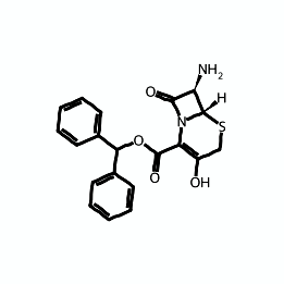 N[C@@H]1C(=O)N2C(C(=O)OC(c3ccccc3)c3ccccc3)=C(O)CS[C@@H]12